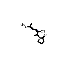 C/C(=C\C=C(\C#N)C(C)N1CCCC1=O)OC(C)(C)C